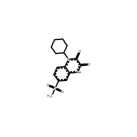 CS(=O)(=O)c1ccc2c(c1)[nH]c(=O)c(=O)n2C1CCCCC1